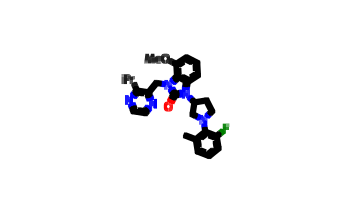 COc1cccc2c1n(Cc1nccnc1C(C)C)c(=O)n2C1CCN(c2c(C)cccc2F)C1